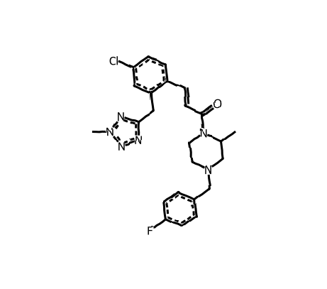 CC1CN(Cc2ccc(F)cc2)CCN1C(=O)/C=C/c1ccc(Cl)cc1Cc1nnn(C)n1